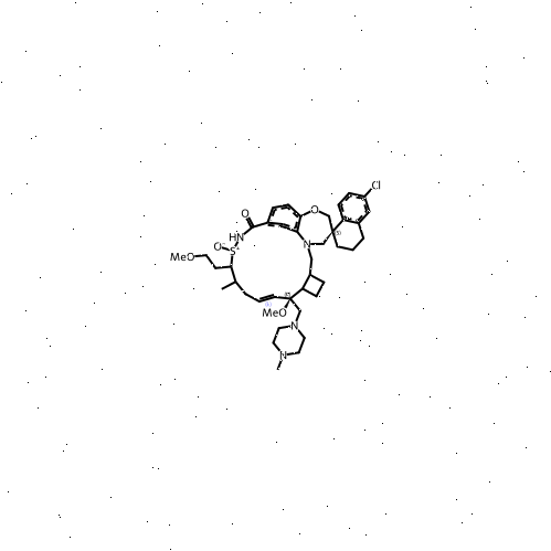 COCCC1C(C)C/C=C/[C@](CN2CCN(C)CC2)(OC)C2CCC2CN2C[C@@]3(CCCc4cc(Cl)ccc43)COc3ccc(cc32)C(=O)N[S+]1[O-]